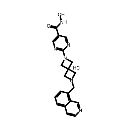 Cl.O=C(NO)c1cnc(N2CC3(CN(Cc4cccc5ccncc45)C3)C2)nc1